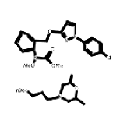 CCCCCCCCCCCCCN1CC(C)OC(C)C1.COC(=O)N(OC)c1ccccc1COc1ccn(-c2ccc(Cl)cc2)n1